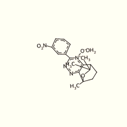 CC12CCC(c3c1nnc(-c1cccc([N+](=O)[O-])c1)[n+]3[O-])C(C)(C)O2.O